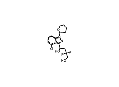 OCC(F)(F)CC(O)c1nn(C2CCCCO2)c2cccc(Cl)c12